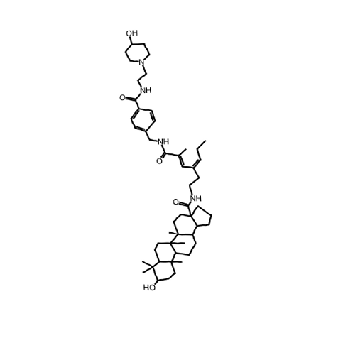 CC/C=C(\C=C(/C)C(=O)NCc1ccc(C(=O)NCCN2CCC(O)CC2)cc1)CCNC(=O)C12CCCC1C1CCC3C4(C)CCC(O)C(C)(C)C4CCC3(C)[C@]1(C)CC2